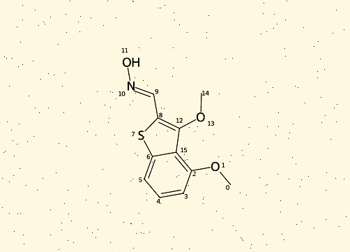 COc1cccc2sc(C=NO)c(OC)c12